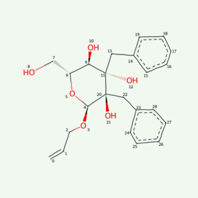 C=CCO[C@H]1O[C@H](CO)[C@@H](O)[C@@](O)(Cc2ccccc2)[C@]1(O)Cc1ccccc1